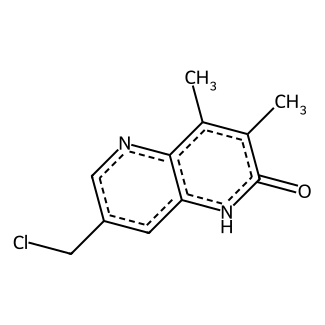 Cc1c(C)c2ncc(CCl)cc2[nH]c1=O